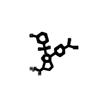 CNC1CCc2c1cn(S(=O)(=O)c1cccc(Cl)c1)c2-c1ccc(C(=O)O)cc1